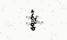 Cc1cccc(C)c1-c1cc(C(CC(=O)O)NC(=O)C(CC(C)C)n2cc(CCN3CC(C)C3)c(C(F)(F)F)cc2=O)c(F)c(C(F)(F)F)c1